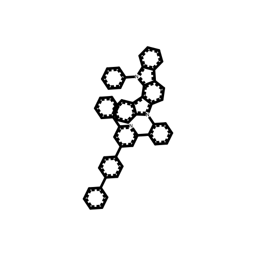 c1ccc(-c2ccc(-c3cc(-c4ccccc4)nc(-c4ccccc4-n4c5ccccc5c5c4ccc4c6ccccc6n(-c6ccccc6)c45)c3)cc2)cc1